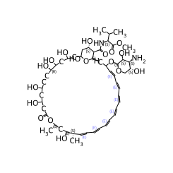 COC(=O)[C@@H](NC(=O)C1[C@@H]2CC(O[C@@H]3OC[C@@H](O)[C@H](N)[C@@H]3O)/C=C/C=C/C=C/C=C/C=C/C=C/C=C/[C@H](C)[C@@H](O)C[C@H](C)OC(=O)CC(O)CC(O)CC[C@@H](O)C(O)CC(O)CC(O)(C[C@@H]1O)O2)C(C)C